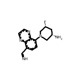 N=Cc1ccc(N2C[C@@H](N)C[C@@H](F)C2)c2nccnc12